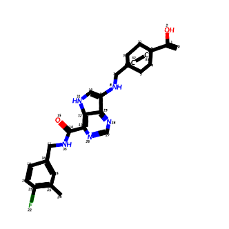 C=C(O)C12CCC(CNc3c[nH]c4c(C(=O)NCc5ccc(F)c(C)c5)ncnc34)(CC1)CC2